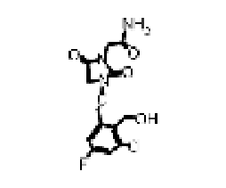 NC(=O)CN1C(=O)CN(CCc2cc(F)cc(Cl)c2CO)C1=O